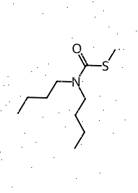 [CH2]SC(=O)N(CCCC)CCCC